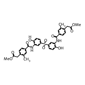 COC(=O)Cc1ccc(C(=O)Nc2cc(S(=O)(=O)c3ccc(O)c(NC(=O)c4ccc(CC(=O)OC)c(C)c4)c3)ccc2O)cc1C